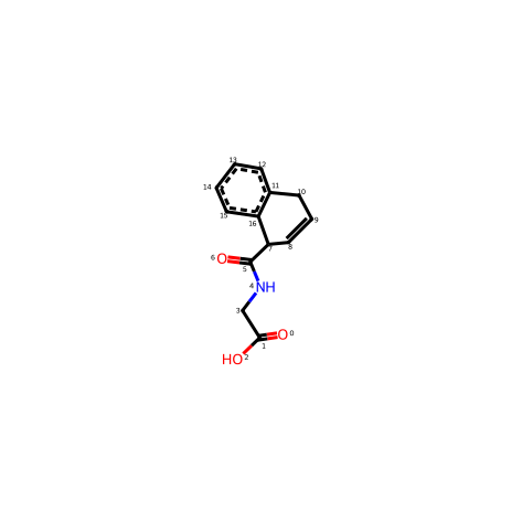 O=C(O)CNC(=O)C1C=CCc2ccccc21